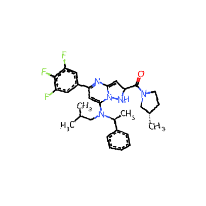 CC(C)CN(C1=CC(c2cc(F)c(F)c(F)c2)=NC2=CC(C(=O)N3CC[C@H](C)C3)NN21)[C@@H](C)c1ccccc1